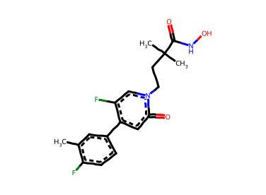 Cc1cc(-c2cc(=O)n(CCC(C)(C)C(=O)NO)cc2F)ccc1F